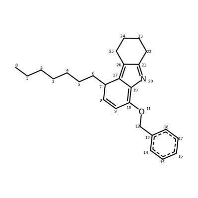 CCCCCCCC1C=CC(OCc2ccccc2)=C2N=C3CCCCC3=C21